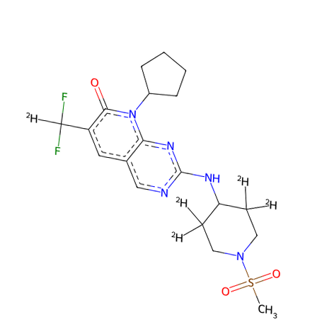 [2H]C(F)(F)c1cc2cnc(NC3C([2H])([2H])CN(S(C)(=O)=O)CC3([2H])[2H])nc2n(C2CCCC2)c1=O